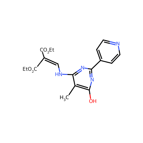 CCOC(=O)C(=CNc1nc(-c2ccncc2)nc(O)c1C)C(=O)OCC